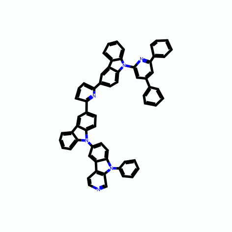 c1ccc(-c2cc(-c3ccccc3)nc(-n3c4ccccc4c4cc(-c5cccc(-c6ccc7c(c6)c6ccccc6n7-c6ccc7c(c6)c6ccncc6n7-c6ccccc6)n5)ccc43)c2)cc1